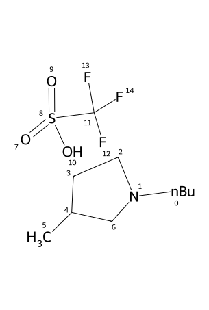 CCCCN1CCC(C)C1.O=S(=O)(O)C(F)(F)F